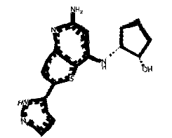 Nc1cc(N[C@@H]2CCC[C@@H]2O)c2sc(-c3ccn[nH]3)cc2n1